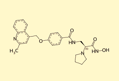 Cc1cc(COc2ccc(C(=O)NC[C@@H](C(=O)NO)N3CCCC3)cc2)c2ccccc2n1